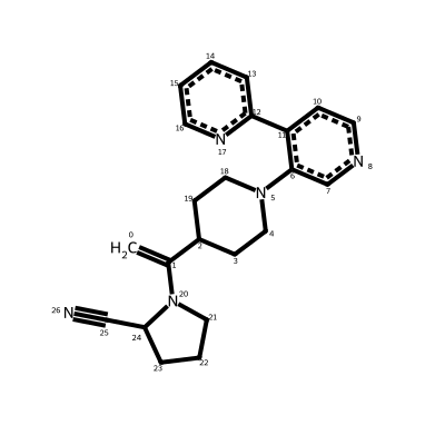 C=C(C1CCN(c2cnccc2-c2ccccn2)CC1)N1CCCC1C#N